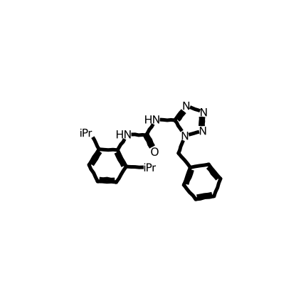 CC(C)c1cccc(C(C)C)c1NC(=O)Nc1nnnn1Cc1ccccc1